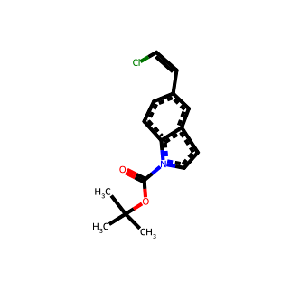 CC(C)(C)OC(=O)n1ccc2cc(/C=C\Cl)ccc21